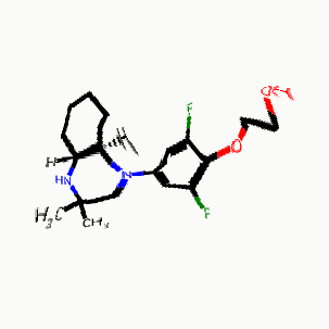 CC1(C)CN(c2cc(F)c(OCCO)c(F)c2)[C@@H]2CCCC[C@H]2N1